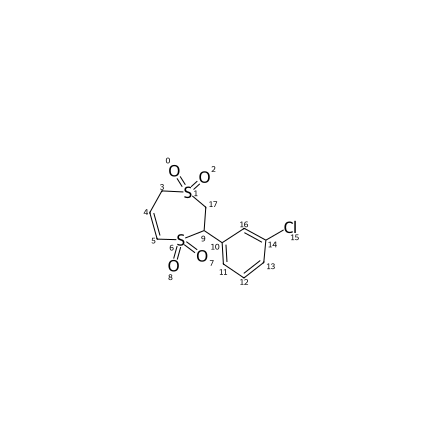 O=S1(=O)CC=CS(=O)(=O)C(c2cccc(Cl)c2)C1